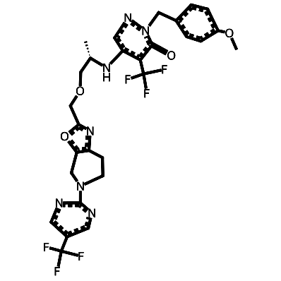 COc1ccc(Cn2ncc(N[C@@H](C)COCc3nc4c(o3)CN(c3ncc(C(F)(F)F)cn3)CC4)c(C(F)(F)F)c2=O)cc1